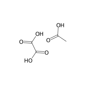 CC(=O)O.O=C(O)C(=O)O